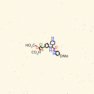 COc1ccc(NC(=O)C(Nc2cccc(-c3sc(C(=O)O)c(OCC(=O)O)c3Cl)c2)C2CCNCC2)cc1